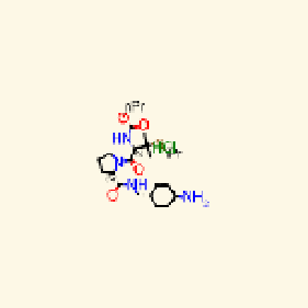 CCCOC(=O)N[C@@H](C(=O)N1CCC[C@H]1C(=O)NC[C@H]1CC[C@H](N)CC1)C(C)(C)SC(C)C.Cl